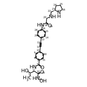 C[C@@H](O)[C@H](NC(=O)c1ccc(C#Cc2ccc(NC(=O)CNC[C@H]3CCCN3)cc2)cc1)C(=O)NO